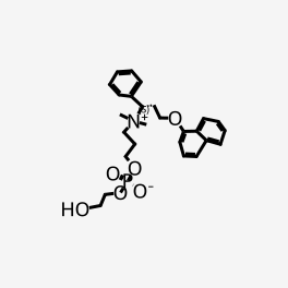 C[N+](C)(CCCOP(=O)([O-])OCCO)[C@@H](CCOc1cccc2ccccc12)c1ccccc1